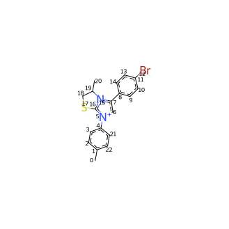 Cc1ccc(-[n+]2cc(-c3ccc(Br)cc3)n3c2SCC3C)cc1